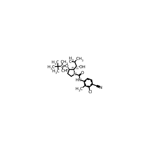 Cc1c(NC(=O)N2CC[C@@H](O[Si](C)(C)C(C)(C)C)[C@H]2[C@@H](O)C(C)C)ccc(C#N)c1Cl